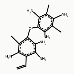 C=Cc1c(N)c(C)c(Oc2c(N)c(C)c(N)c(C)c2N)c(N)c1N